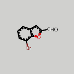 O=Cc1cc2cccc(Br)c2o1